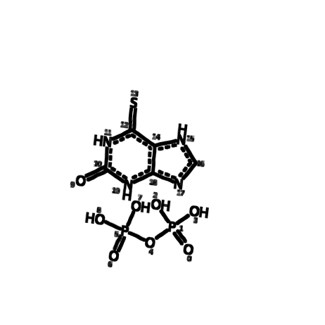 O=P(O)(O)OP(=O)(O)O.O=c1[nH]c(=S)c2[nH]cnc2[nH]1